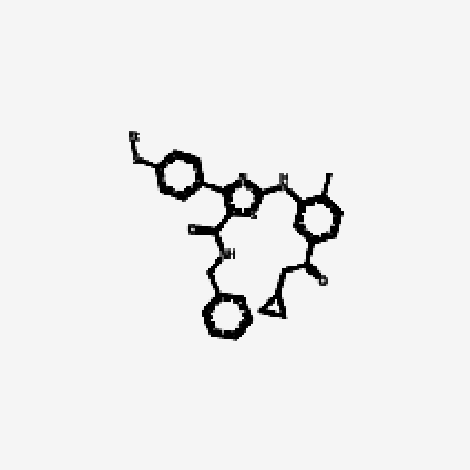 CCSc1ccc(-c2nc(Nc3cc(C(=O)CC4CC4)ccc3C)sc2C(=O)NCc2ccccc2)cc1